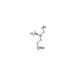 COCC[C@@H](N)CC(C)C